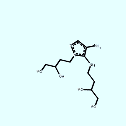 Nc1cnn(CCC(O)CO)c1NCCC(O)CO